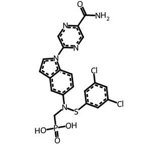 NC(=O)c1cnc(-n2ccc3cc(N(CP(=O)(O)O)Sc4cc(Cl)cc(Cl)c4)ccc32)cn1